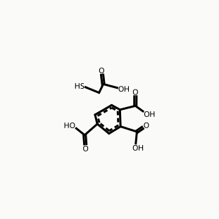 O=C(O)CS.O=C(O)c1ccc(C(=O)O)c(C(=O)O)c1